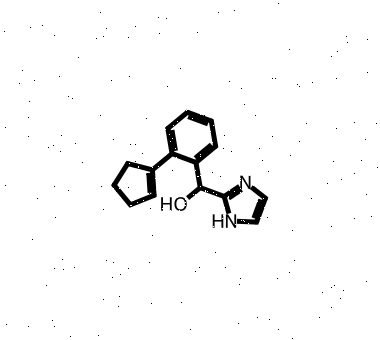 OC(c1ncc[nH]1)c1ccccc1C1=CCCC1